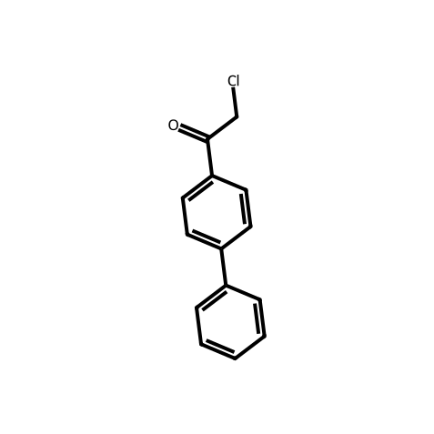 O=C(CCl)c1ccc(-c2ccccc2)cc1